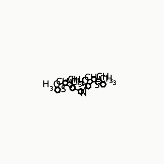 CC1(C)c2ccccc2Sc2c1ccc1c2-c2ccc(-c3ccnc(-c4ccc5c(c4)C(C)(C)c4ccc6c(c4-5)Sc4ccccc4C6(C)C)c3)cc2C1(C)C